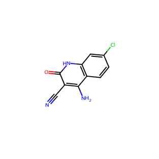 N#Cc1c(N)c2ccc(Cl)cc2[nH]c1=O